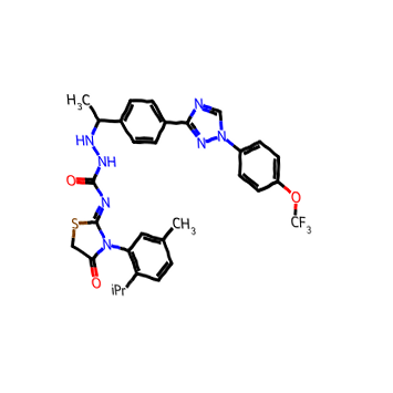 Cc1ccc(C(C)C)c(N2C(=O)CSC2=NC(=O)NNC(C)c2ccc(-c3ncn(-c4ccc(OC(F)(F)F)cc4)n3)cc2)c1